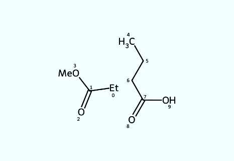 CCC(=O)OC.CCCC(=O)O